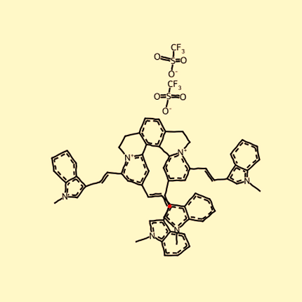 Cn1cc(/C=C/c2cc(/C=C/c3cn(C)c4ccccc34)[n+]3c(c2)-c2c(ccc4c2-c2cc(/C=C/c5cn(C)c6ccccc56)cc(/C=C/c5cn(C)c6ccccc56)[n+]2CC4)CC3)c2ccccc21.O=S(=O)([O-])C(F)(F)F.O=S(=O)([O-])C(F)(F)F